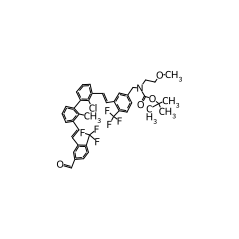 COCCN(Cc1ccc(C(F)(F)F)c(/C=C/c2cccc(-c3cccc(/C=C/c4cc(C=O)ccc4C(F)(F)F)c3C)c2Cl)c1)C(=O)OC(C)(C)C